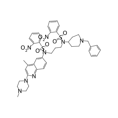 Cc1cc(N2CCN(C)CC2)nc2ccc(N(CCCN(C3CCN(Cc4ccccc4)CC3)S(=O)(=O)c3ccccc3[N+](=O)[O-])S(=O)(=O)c3ccccc3[N+](=O)[O-])cc12